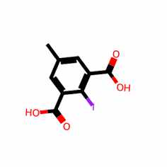 Cc1cc(C(=O)O)c(I)c(C(=O)O)c1